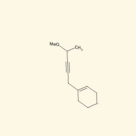 COC(C)C#CCC1=CC[CH]CC1